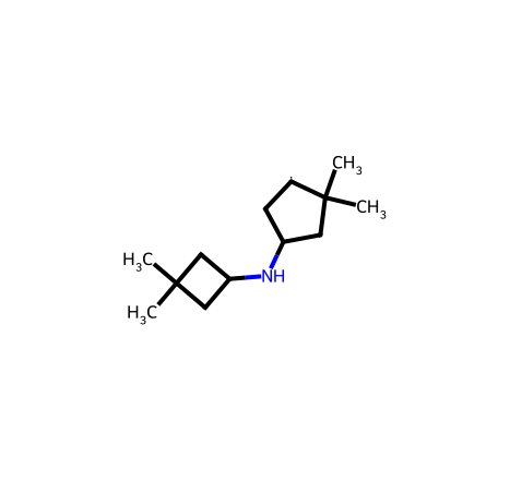 CC1(C)[CH]CC(NC2CC(C)(C)C2)C1